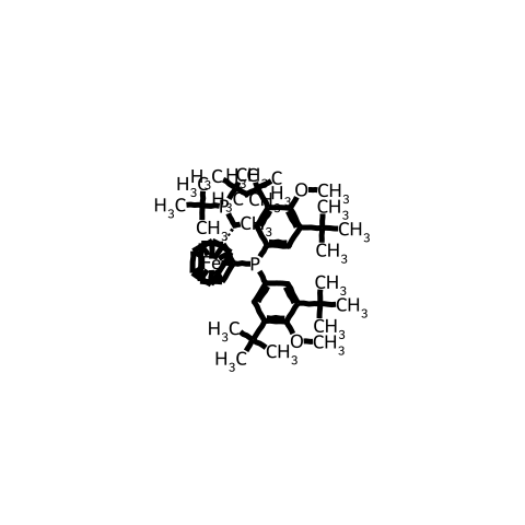 COc1c(C(C)(C)C)cc(P(c2cc(C(C)(C)C)c(OC)c(C(C)(C)C)c2)[C]23[CH]4[CH]5[CH]6[C@]2(C(C)P(C(C)(C)C)C(C)(C)C)[Fe]54632789[CH]3[CH]2[CH]7[CH]8[CH]39)cc1C(C)(C)C